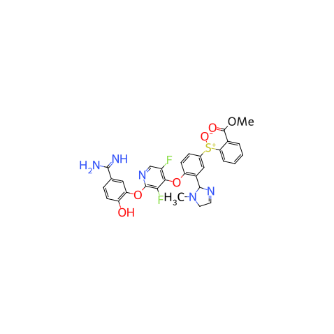 COC(=O)c1ccccc1[S+]([O-])c1ccc(Oc2c(F)cnc(Oc3cc(C(=N)N)ccc3O)c2F)c(C2N=CCN2C)c1